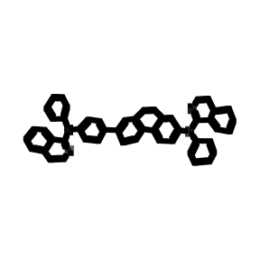 c1ccc(N(c2ccc(-c3ccc4c(ccc5cc(N(c6ccccc6)c6nccc7ccccc67)ccc54)c3)cc2)c2nccc3ccccc23)cc1